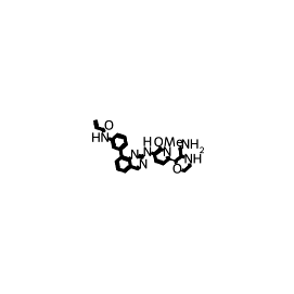 C=CC(=O)Nc1cccc(-c2cccc3cnc(Nc4ccc([C@@H]5OCCNC5CN)nc4OC)nc23)c1